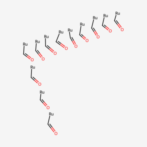 O=[CH][Ru].O=[CH][Ru].O=[CH][Ru].O=[CH][Ru].O=[CH][Ru].O=[CH][Ru].O=[CH][Ru].O=[CH][Ru].O=[CH][Ru].O=[CH][Ru].O=[CH][Ru].O=[CH][Ru]